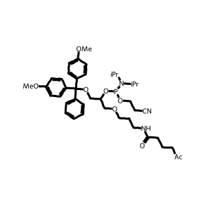 COc1ccc(C(OCC(COCCCNC(=O)CCCC(C)=O)OP(OCCC#N)N(C(C)C)C(C)C)(c2ccccc2)c2ccc(OC)cc2)cc1